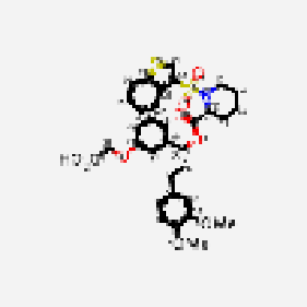 COc1ccc(CC[C@@H](OC(=O)[C@@H]2CCCCN2S(=O)(=O)c2csc3ccccc23)c2cccc(OCC(=O)O)c2)cc1OC